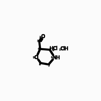 Cl.Cl.O=CC1CNCCO1